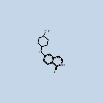 CCCN1CCC(Oc2ccc3c(=O)[nH]ccc3c2)CC1